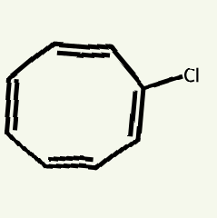 ClC1=C/C=C\C=C/C=C\1